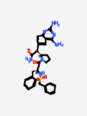 NC(=O)C(c1ccc2nc(N)nc(N)c2c1)[C@@H]1CCCN1C(=O)[C@@H](Cc1ccccc1)NS(=O)(=O)Cc1ccccc1